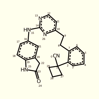 N#CC1(c2ccccc2CCc2ccnc(Nc3ccc4c(c3)CC(=O)N4)n2)CCC1